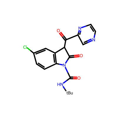 CC(C)(C)NC(=O)N1C(=O)C(C(=O)c2cnccn2)c2cc(Cl)ccc21